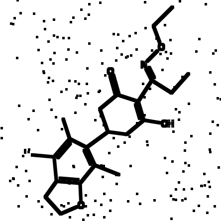 CCON=C(CC)C1=C(O)CC(c2c(C)c(C)c3c(c2C)OCC3)CC1=O